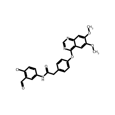 COc1cc2ncnc(Oc3ccc(CC(=O)Nc4ccc(Cl)c(C=O)c4)cc3)c2cc1OC